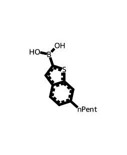 CCCCCc1ccc2cc(B(O)O)sc2c1